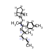 C\C=C/C=C\C(C)=N\C(=C(/C)CN1CC2CCCC21CC)c1ccc(C)cc1